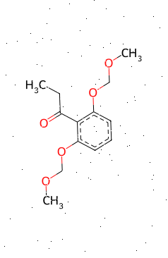 CCC(=O)c1c(OCOC)cccc1OCOC